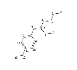 CCCCN(CC)Cc1ccc(CC)cc1